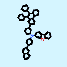 c1ccc(-c2c(-c3ccccc3)c3cc(-c4cccc(N(c5ccc(-c6ccc7ccccc7c6)cc5)c5ccc6c(c5)oc5ccccc56)c4)ccc3c3ccccc23)cc1